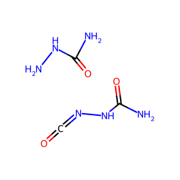 NC(=O)NN=C=O.NNC(N)=O